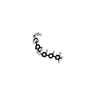 CCCCOC1COC(c2ccc(C(F)(F)Oc3ccc(-c4ccc(-c5cc(F)c(F)c(F)c5)c(F)c4)c(F)c3)c(F)c2)OC1